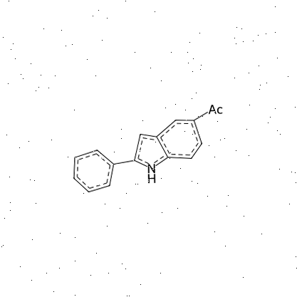 CC(=O)c1ccc2[nH]c(-c3ccccc3)cc2c1